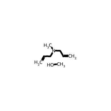 C=CCN(C)CC=C.CO